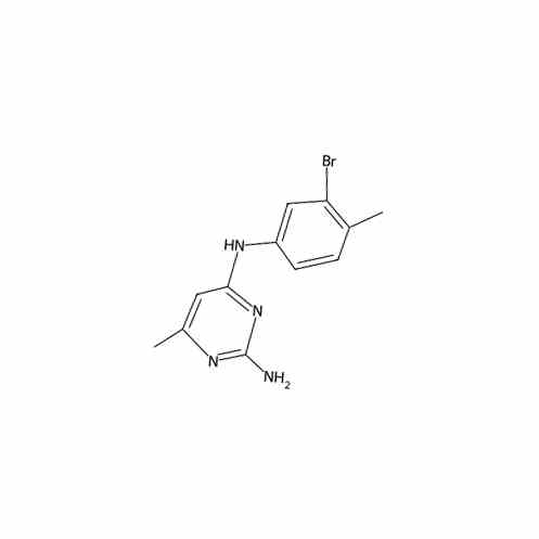 Cc1cc(Nc2ccc(C)c(Br)c2)nc(N)n1